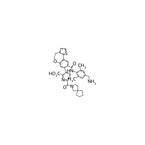 Cc1cc(CN)cc(C)c1NC(=O)c1cc2c(cc1-c1ccc(C(=O)N3CCC4(CCCC4)C3)nc1C(=O)O)OCCc1ccsc1-2